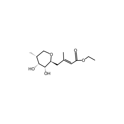 [CH2][C@@H]1CO[C@@H](C/C(C)=C/C(=O)OCC)[C@H](O)[C@@H]1O